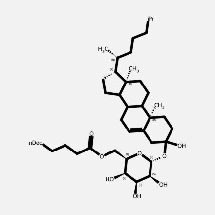 CCCCCCCCCCCCCC(=O)OC[C@H]1O[C@H](OC2(O)CC[C@@]3(C)C(=CCC4C3CC[C@@]3(C)C4CC[C@@H]3[C@H](C)CCCC(C)C)C2)[C@@H](O)[C@@H](O)[C@H]1O